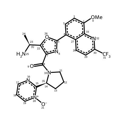 COc1ccc(-c2nc(C(=O)N3CCC[C@H]3c3nccc[n+]3[O-])c([C@H](C)N)o2)c2ccc(C(F)(F)F)nc12